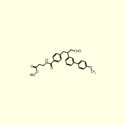 CC(C)(C)OC(=O)CCNC(=O)c1ccc(CC(CC=O)c2cccc(-c3ccc(OC(F)(F)F)cc3)c2)cc1